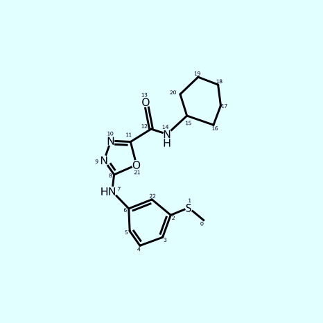 CSc1cccc(Nc2nnc(C(=O)NC3CCCCC3)o2)c1